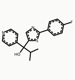 CC(C)C(O)(c1ccncc1)c1cnc(-c2ccc(F)cc2)s1